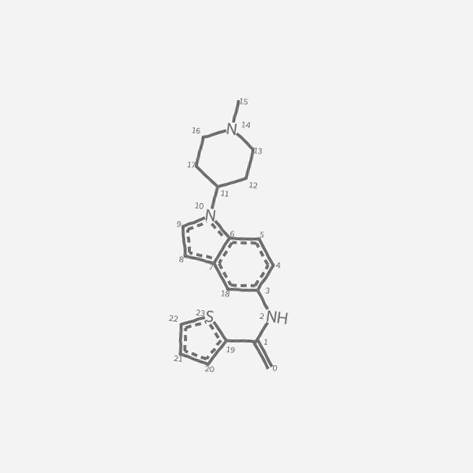 C=C(Nc1ccc2c(ccn2C2CCN(C)CC2)c1)c1cccs1